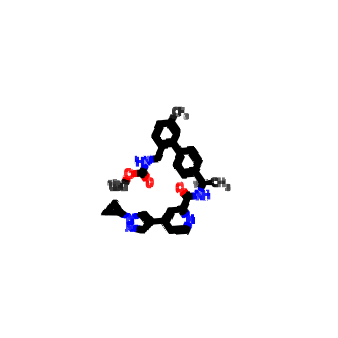 C[C@@H](NC(=O)c1cc(-c2cnn(C3CC3)c2)ccn1)c1ccc(-c2cc(C(F)(F)F)ccc2CNC(=O)OC(C)(C)C)cc1